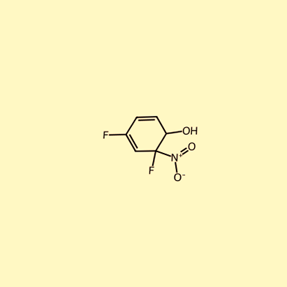 O=[N+]([O-])C1(F)C=C(F)C=CC1O